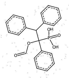 O=[C]OC(c1ccccc1)(C(c1ccccc1)c1ccccc1)P(=O)(O)O